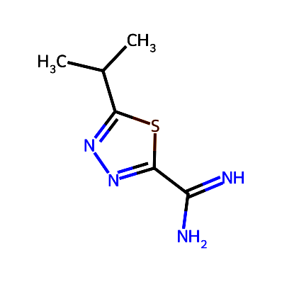 CC(C)c1nnc(C(=N)N)s1